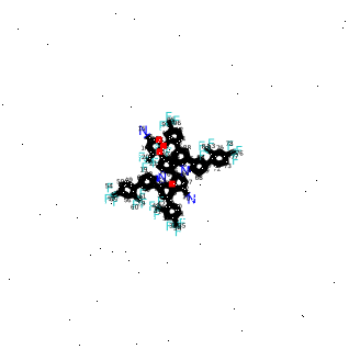 N#Cc1ccc(-c2ccc(-c3ccc(C#N)cc3C(F)(F)F)cc2-n2c3ccc(-c4ccc(C(F)(F)F)cc4C(F)(F)F)cc3c3cc(-c4ccc(C(F)(F)F)cc4C(F)(F)F)ccc32)c(-n2c3ccc(-c4ccc(C(F)(F)F)cc4C(F)(F)F)cc3c3cc(-c4ccc(C(F)(F)F)cc4C(F)(F)F)ccc32)c1